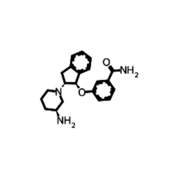 NC(=O)c1cccc(O[C@@H]2c3ccccc3C[C@H]2N2CCC[C@H](N)C2)c1